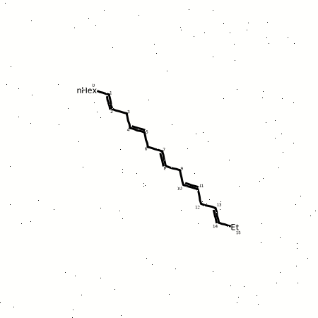 [CH2]CCCCCC=CCC=CCC=CCC=CCC=CCC